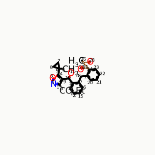 CCOC(=O)c1noc(C2(C)CC2)c1C(=O)c1ccccc1Cc1ccccc1S(C)(=O)=O